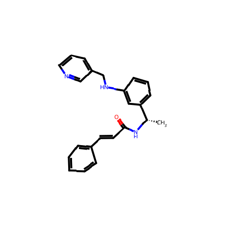 C[C@H](NC(=O)C=Cc1ccccc1)c1cccc(NCc2cccnc2)c1